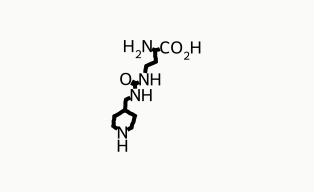 NC(CCNC(=O)NCC1CCNCC1)C(=O)O